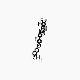 CC1CCC2CC(COc3ccc(-c4ccc5nc(C(F)(F)Oc6cc(F)c(F)c(F)c6)sc5c4)c(F)c3)CCC2C1